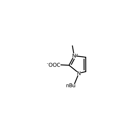 CCCCn1cc[n+](C)c1C(=O)[O-]